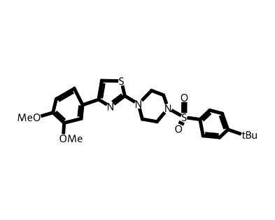 COc1ccc(-c2csc(N3CCN(S(=O)(=O)c4ccc(C(C)(C)C)cc4)CC3)n2)cc1OC